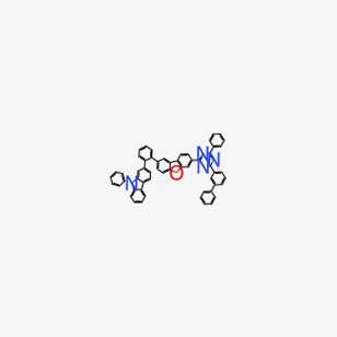 c1ccc(-c2cccc(-c3nc(-c4ccccc4)nc(-c4ccc5c(c4)oc4ccc(-c6ccccc6-c6ccc7c8ccccc8n(-c8ccccc8)c7c6)cc45)n3)c2)cc1